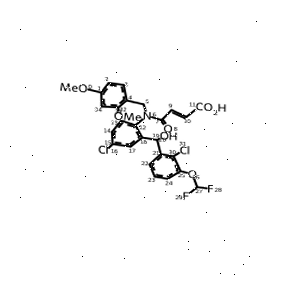 COc1ccc(CN(C(=O)C=CC(=O)O)c2ccc(Cl)cc2C(O)c2cccc(OC(F)F)c2Cl)c(OC)c1